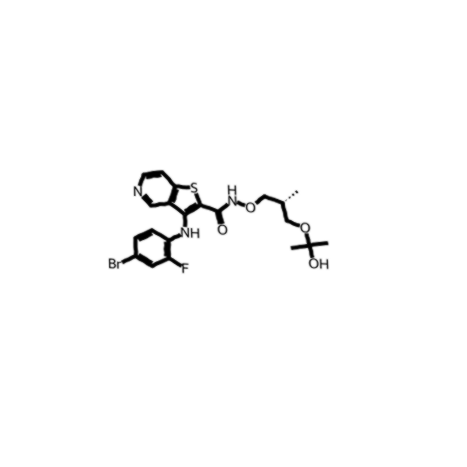 C[C@@H](CONC(=O)c1sc2ccncc2c1Nc1ccc(Br)cc1F)COC(C)(C)O